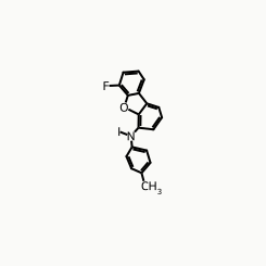 Cc1ccc(N(I)c2cccc3c2oc2c(F)cccc23)cc1